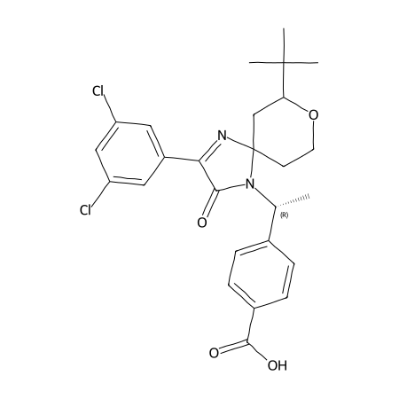 C[C@H](c1ccc(C(=O)O)cc1)N1C(=O)C(c2cc(Cl)cc(Cl)c2)=NC12CCOC(C(C)(C)C)C2